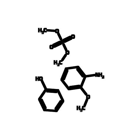 COS(=O)(=O)OC.COc1ccccc1N.Oc1ccccc1